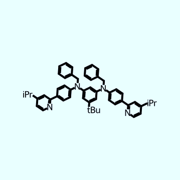 CC(C)c1ccnc(-c2ccc(N(Cc3ccccc3)c3cc(N(Cc4ccccc4)c4ccc(-c5cc(C(C)C)ccn5)cc4)cc(C(C)(C)C)c3)cc2)c1